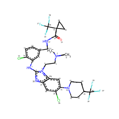 CN(C)CCn1c(Nc2cc(CNC(=O)C3(C(F)(F)F)CC3)ccc2Cl)nc2cc(Cl)c(N3CCC(C(F)(F)F)CC3)cc21